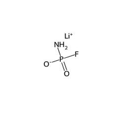 NP(=O)([O-])F.[Li+]